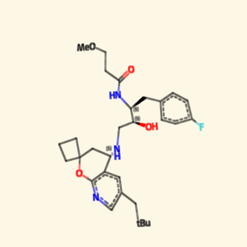 COCCC(=O)N[C@@H](Cc1ccc(F)cc1)[C@@H](O)CN[C@H]1CC2(CCC2)Oc2ncc(CC(C)(C)C)cc21